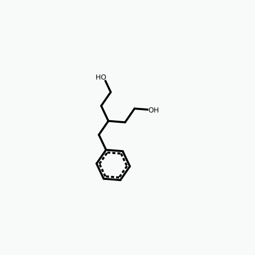 OCCC(CCO)Cc1ccccc1